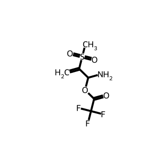 C=C(C(N)OC(=O)C(F)(F)F)S(C)(=O)=O